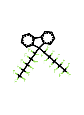 FC(F)(F)C(F)(F)C(F)(F)C(F)(F)C(F)(F)C1(C(F)(F)C(F)(F)C(F)(F)C(F)(F)C(F)(F)F)c2ccccc2-c2ccccc21